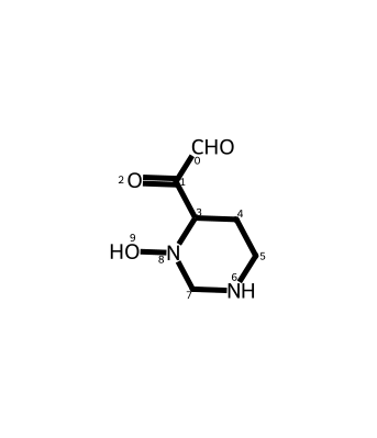 O=CC(=O)C1CCNCN1O